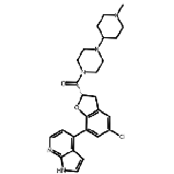 CN1CCC(N2CCN(C(=O)[C@@H]3Cc4cc(Cl)cc(-c5ccnc6[nH]ccc56)c4O3)CC2)CC1